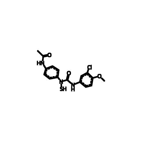 COc1ccc(NC(=O)N(S)c2ccc(NC(C)=O)cc2)cc1Cl